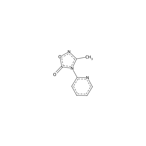 Cc1noc(=O)n1-c1ccccn1